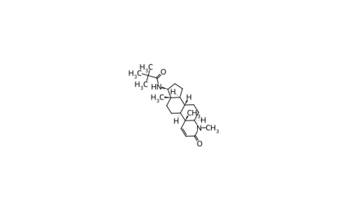 CN1C(=O)C=C[C@]2(C)[C@H]3CC[C@]4(C)[C@@H](NC(=O)C(C)(C)C)CC[C@H]4[C@@H]3CC[C@@H]12